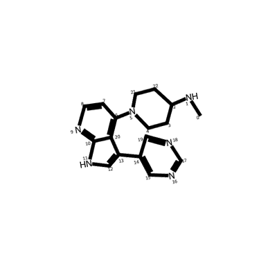 CNC1CCN(c2ccnc3[nH]cc(-c4cncnc4)c23)CC1